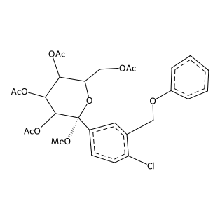 CO[C@@]1(c2ccc(Cl)c(COc3ccccc3)c2)OC(COC(C)=O)C(OC(C)=O)C(OC(C)=O)C1OC(C)=O